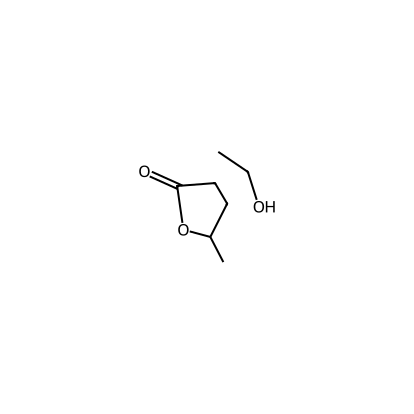 CC1CCC(=O)O1.CCO